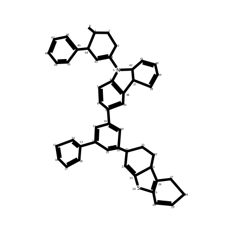 CC1CCC(N2c3ccc(-c4cc(-c5ccccc5)cc(C5C=C6SC7=C(CCC=C7)C6CC5)c4)cc3C3C=CC=CC32)=CC1c1ccccc1